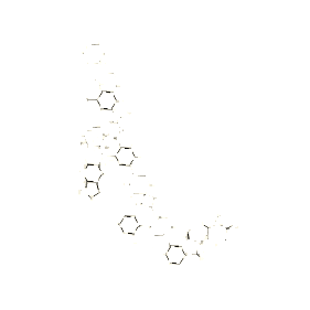 Cc1ccccc1[C@@H]1CN(c2cccc3c2C(=O)N(C2CCC(=O)N(C)C2=O)C3=O)CCN1C1CC2(CCN(c3ccc(C(=O)NS(=O)(=O)c4cc5c(c([N+](=O)[O-])c4)N[C@H](C4CCOCC4)CO5)c(N4c5cc6cc[nH]c6nc5O[C@H]5COCC[C@@H]54)c3)CC2)C1